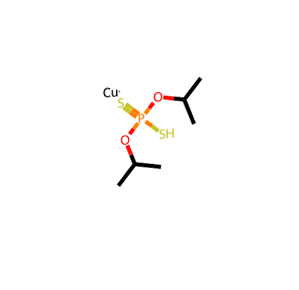 CC(C)OP(=S)(S)OC(C)C.[Cu]